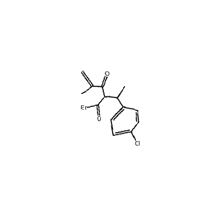 C=C(C)C(=O)C(C(=O)CC)C(C)c1ccc(Cl)cc1